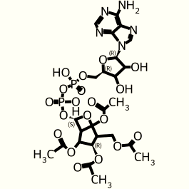 CC(=O)OCC1[C@@H](OC(C)=O)C(OC(C)=O)C2[C@H](OP(=O)(O)OP(=O)(O)OC[C@H]3O[C@@H](n4cnc5c(N)ncnc54)C(O)C3O)OC21OC(C)=O